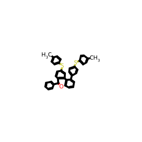 Cc1ccc(Sc2ccc(-c3ccccc3-c3cc(Sc4ccc(C)cc4)ccc3C(=O)c3ccccc3)cc2)cc1